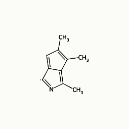 CC1=C(C)C2=C(C)N=[C]C2=C1